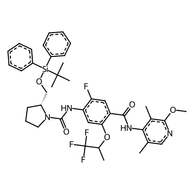 COc1ncc(C)c(NC(=O)c2cc(F)c(NC(=O)N3CCC[C@@H]3CO[Si](c3ccccc3)(c3ccccc3)C(C)(C)C)cc2OC(C)C(F)(F)F)c1C